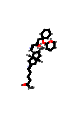 COC(=O)CCC/C=C1\C[C@H]2C[C@H](OC(C)=O)[C@@H](/C=C\C(=O)CC3(OC4CCCCO4)CCCCC3)[C@@H]2C1